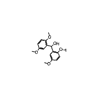 COc1ccc(OC)c(C(O)c2cc(OC)ccc2OI)c1